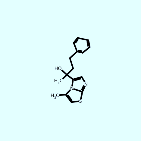 Cc1csc2ncc(C(C)(O)CCc3ccccc3)n12